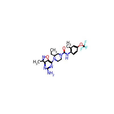 CC[C@H]1CN(C(=O)Nc2ccc(OC(F)(F)F)cc2C)CCN1c1nc(N)nc2c(C)noc12